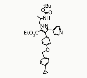 CCOC(=O)c1c(-c2ccc(OCc3ccc(C4CC4)cc3)cc2)c(-c2ccncc2)nn1CC(C)NC(=O)OC(C)(C)C